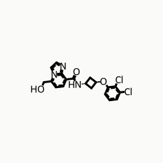 O=C(N[C@H]1C[C@H](Oc2cccc(Cl)c2Cl)C1)c1ccc(CO)n2ccnc12